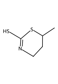 CC1CCN=C(S)S1